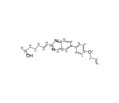 C=CCOc1ccc(-c2ccc3nc(/C=C/CCCC(C)O)ncc3c2)cc1